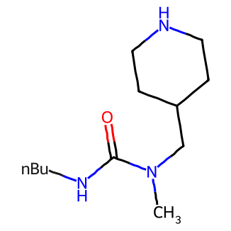 CCCCNC(=O)N(C)CC1CCNCC1